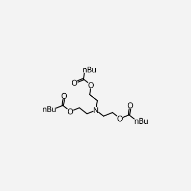 CCCCC(=O)OCCN(CCOC(=O)CCCC)CCOC(=O)CCCC